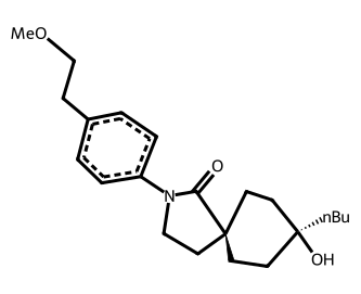 CCCC[C@]1(O)CC[C@]2(CCN(c3ccc(CCOC)cc3)C2=O)CC1